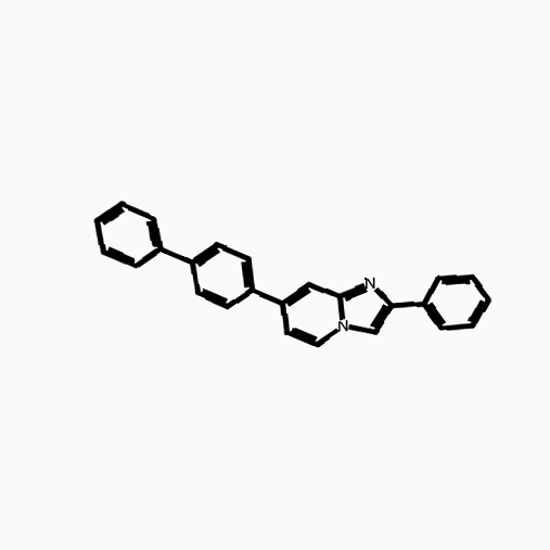 c1ccc(-c2ccc(-c3ccn4cc(-c5ccccc5)nc4c3)cc2)cc1